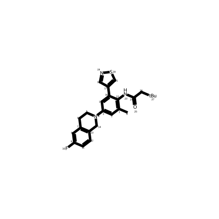 Cc1cc(N2CCc3cc(F)ccc3C2)cc(-c2cnsc2)c1NC(=O)CC(C)(C)C